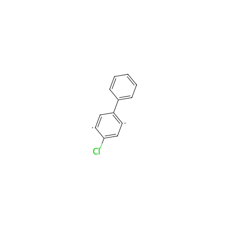 Clc1[c]cc(-c2ccccc2)[c]c1